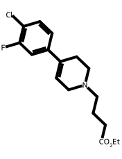 CCOC(=O)CCCN1CC=C(c2ccc(Cl)c(F)c2)CC1